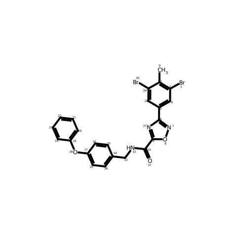 Cc1c(Br)cc(-c2noc(C(=O)NCc3ccc(Oc4ccccc4)cc3)n2)cc1Br